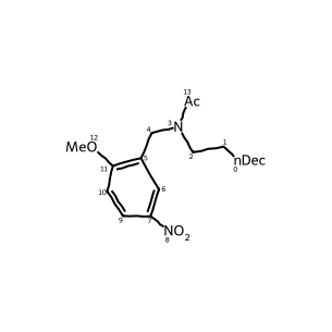 CCCCCCCCCCCCN(Cc1cc([N+](=O)[O-])ccc1OC)C(C)=O